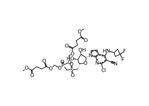 COC(=O)CCC(=O)OCOP(=O)(CS(=O)(=O)C[C@H]1O[C@@H](n2ccc3c(NC4CC(F)(F)C4)c(C#N)c(Cl)nc32)[C@H](O)[C@@H]1O)OCOC(=O)CCC(=O)OC